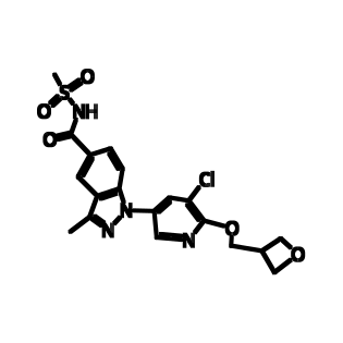 Cc1nn(-c2cnc(OCC3COC3)c(Cl)c2)c2ccc(C(=O)NS(C)(=O)=O)cc12